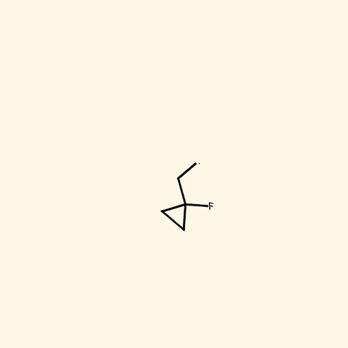 [CH2]CC1(F)CC1